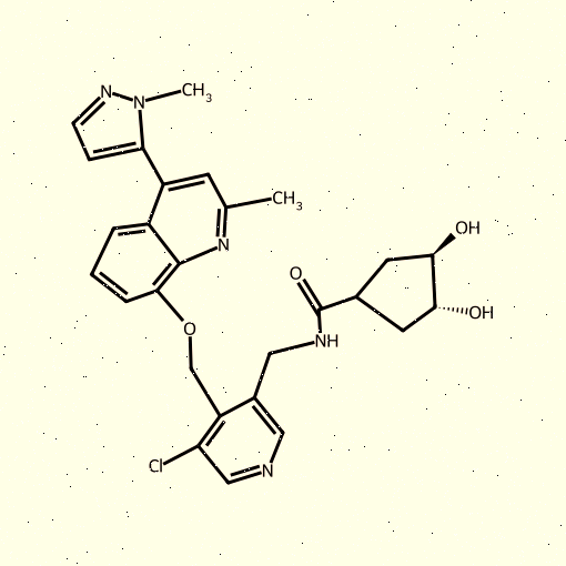 Cc1cc(-c2ccnn2C)c2cccc(OCc3c(Cl)cncc3CNC(=O)C3C[C@@H](O)[C@H](O)C3)c2n1